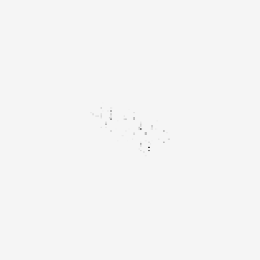 c1ccc(-c2ncnc(-c3ccccc3)c2-c2cccc(-c3cccc(-c4cccc5c4sc4ccccc45)c3)c2)cc1